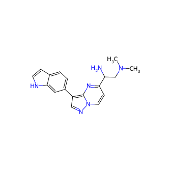 CN(C)CC(N)c1ccn2ncc(-c3ccc4cc[nH]c4c3)c2n1